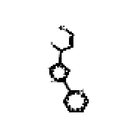 O/C=C\C(F)c1csc(-c2ccccn2)c1